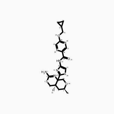 C[C@H]1C[C@H]2CSC(N)=NC2(c2nc(NC(=O)c3cnc(OCC4CC4)cn3)cs2)CO1